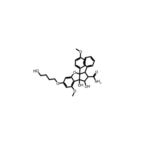 COc1ccc(C23Oc4cc(OCCCCO)cc(OC)c4C2(O)C(O)C(C(N)=O)C3c2ccccc2)cc1